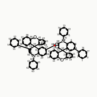 c1ccc(-c2ccc3c(c2)C2(c4ccccc4Oc4ccccc42)c2cc(-c4ccc5c(c4)C4(c6ccccc6Oc6ccccc64)c4cc(-c6ccccc6)ccc4N5c4ccccc4)ccc2N3c2ccccc2)cc1